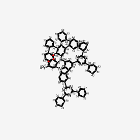 CC(C)c1cc2c3c(c1)-n1c4ccc(-c5nc(-c6ccccc6)nc(-c6ccccc6)n5)cc4c4cc(-c5nc(-c6ccccc6)nc(-c6ccccc6)n5)cc(c41)B3c1cc(-c3ccccc3-c3ccccc3)cc(-c3ccccc3-c3ccccc3)c1O2